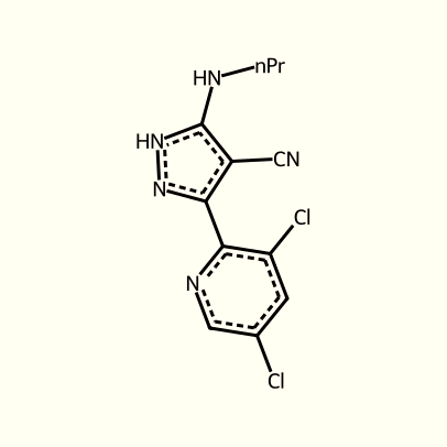 CCCNc1[nH]nc(-c2ncc(Cl)cc2Cl)c1C#N